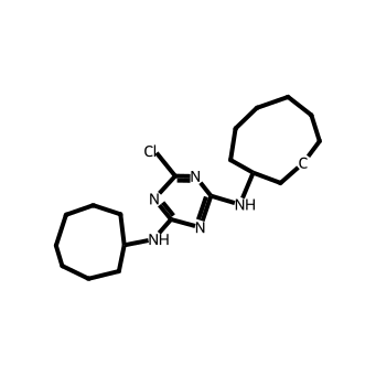 Clc1nc(NC2CCCCCCCC2)nc(NC2CCCCCCC2)n1